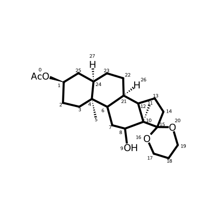 CC(=O)O[C@@H]1CC[C@]2(C)C3CC(O)[C@@]4(C)C(CCC45OCCCO5)[C@@H]3CC[C@@H]2C1